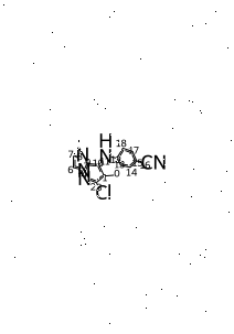 Cc1c(Cl)nn2ccnc2c1Nc1ccc(C#N)cc1